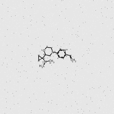 C=Cc1ccc(N2CCOC(C3(N(C)C)CC3)C2)cn1